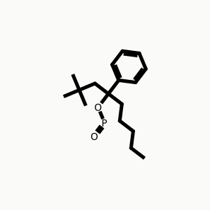 CCCCCC(CC(C)(C)C)(OP=O)c1ccccc1